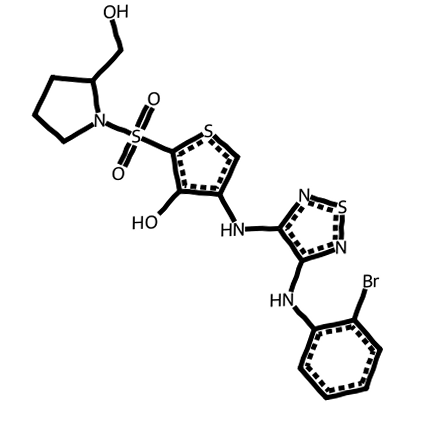 O=S(=O)(c1scc(Nc2nsnc2Nc2ccccc2Br)c1O)N1CCCC1CO